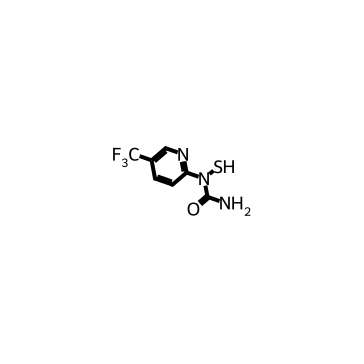 NC(=O)N(S)c1ccc(C(F)(F)F)cn1